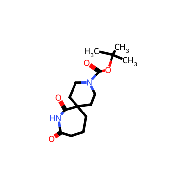 CC(C)(C)OC(=O)N1CCC2(CCCC(=O)NC2=O)CC1